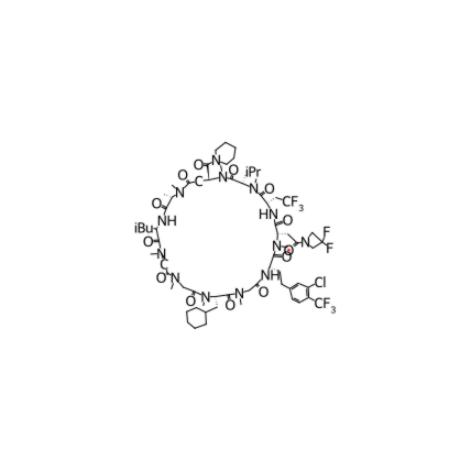 CC[C@H](C)[C@@H]1NC(=O)[C@H](C)N(C)C(=O)C[C@@H](C(=O)N2CCCCC2)N(C)C(=O)[C@H](C(C)C)N(C)C(=O)[C@H](CC(F)(F)F)NC(=O)[C@H](CC(=O)N2CC(F)(F)C2)N(C)C(=O)[C@H](CCc2ccc(C(F)(F)F)c(Cl)c2)NC(=O)CN(C)C(=O)[C@H](CC2CCCCC2)N(C)C(=O)CN(C)C(=O)CN(C)C1=O